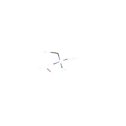 CCCCCCCCCC[N+](C)(C)CCCCCCC.O=S(=O)([O-])O